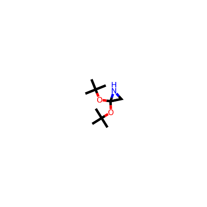 CC(C)(C)OC1(OC(C)(C)C)CN1